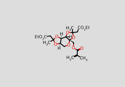 C=C(C)C(=O)OC[C@@]12OC[C@H]3OC(C)(CC(=O)OCC)O[C@H]3[C@@H]1OC(C)(CC(=O)OCC)O2